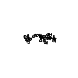 Cc1ncsc1-c1ccc([C@H](CO)NC(=O)[C@@H]2C[C@@H](O)CN2C(=O)[C@H](C2CCCCC2)n2cc(C3CCC(CN4CCC(c5ccc6c(c5)-n5c(nc(=O)c7c(Cl)cccc75)C65CCCCC5)CC4)CC3)nn2)cc1